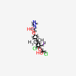 CC(C)(c1ccc(OC/C(O)=C/n2ccnc2)cc1)c1cc(Cl)c(OC[C@H](O)CCl)c(CI)c1